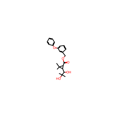 CC(C)(O)C(O)C1C(C(=O)OCc2cccc(Oc3ccccc3)c2)C1(C)C